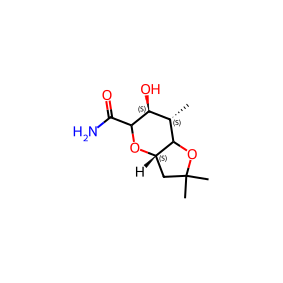 C[C@@H]1C2OC(C)(C)C[C@@H]2OC(C(N)=O)[C@H]1O